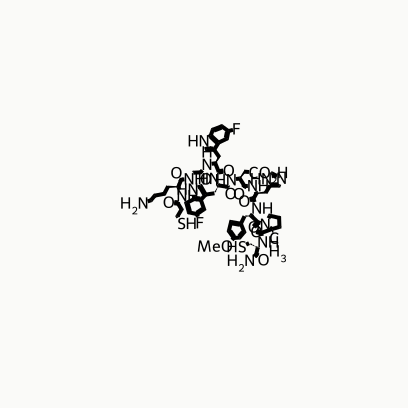 COc1ccc(C[C@H](NC(=O)[C@H](Cc2cnc[nH]2)NC(=O)[C@H](CC(=O)O)NC(=O)[C@H](Cc2c[nH]c3ccc(F)cc23)NC(=O)[C@H](Cc2c[nH]c3ccc(F)cc23)NC(=O)CNC(=O)[C@H](CCCCN)NC(=O)CCS)C(=O)N2CCC[C@@]2(C)C(=O)N[C@@H](CS)C(N)=O)cc1